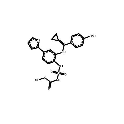 COc1ccc(C(Nc2cc(-c3cccs3)ccc2NS(=O)(=O)NC(=O)OC(C)(C)C)=C2CC2)cc1